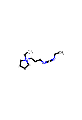 CCN=C=NCCC[N+]1(CC)CCCC1